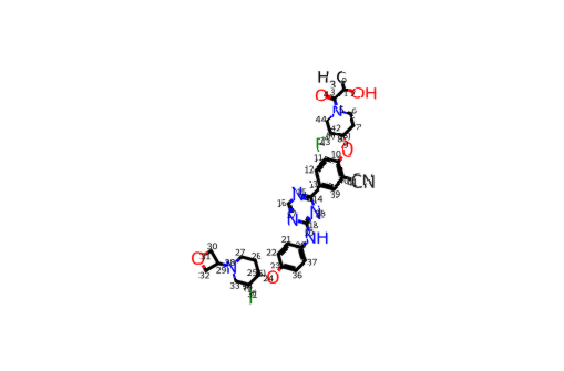 CC(O)C(=O)N1CC[C@H](Oc2ccc(-c3ncnc(Nc4ccc(O[C@H]5CCN(C6COC6)C[C@H]5F)cc4)n3)cc2C#N)[C@H](F)C1